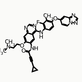 Cc1c(Oc2ccn3ncnc3c2)ccc(Nc2ncnc3cc(OCCN(C)C)c(NC(=O)C#CC4CC4)cc23)c1F